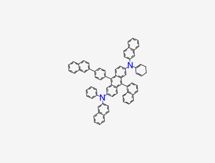 C1=CC(N(c2ccc3ccccc3c2)c2ccc3c(-c4ccc(-c5ccc6ccccc6c5)cc4)c4cc(N(c5ccccc5)c5ccc6ccccc6c5)ccc4c(-c4cccc5ccccc45)c3c2)=CCC1